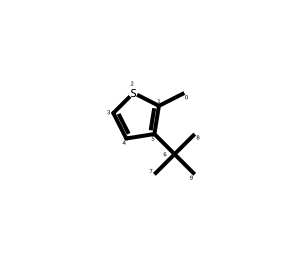 Cc1sccc1C(C)(C)C